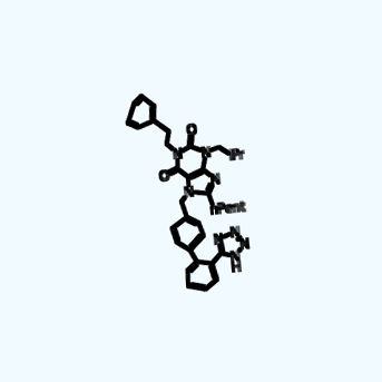 CCCCCc1nc2c(c(=O)n(CCc3ccccc3)c(=O)n2CC(C)C)n1Cc1ccc(-c2ccccc2-c2nnn[nH]2)cc1